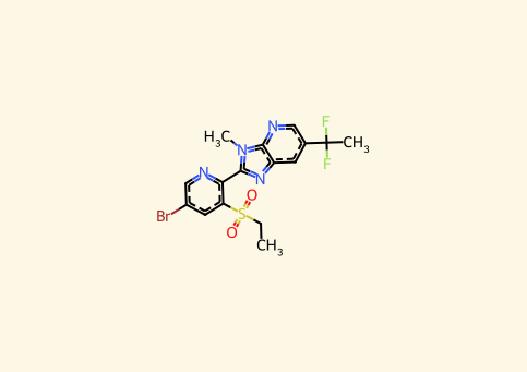 CCS(=O)(=O)c1cc(Br)cnc1-c1nc2cc(C(C)(F)F)cnc2n1C